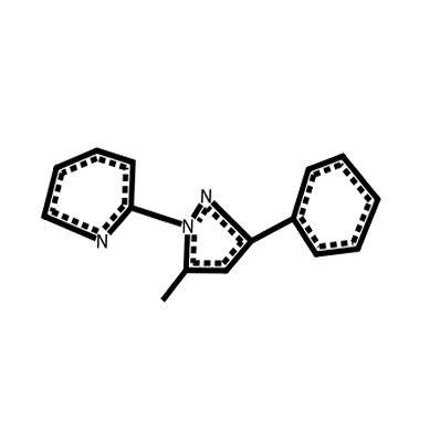 Cc1cc(-c2ccccc2)nn1-c1ccccn1